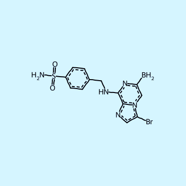 Bc1cn2c(Br)cnc2c(NCc2ccc(S(N)(=O)=O)cc2)n1